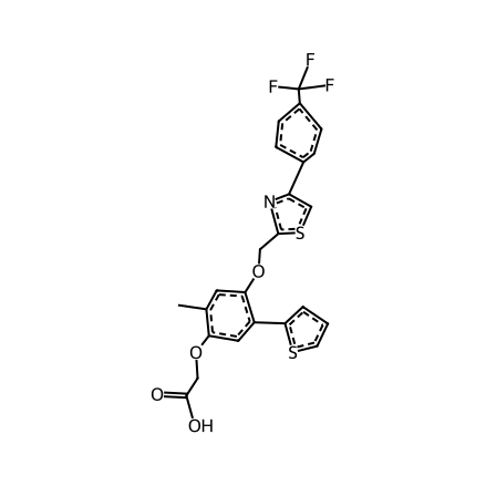 Cc1cc(OCc2nc(-c3ccc(C(F)(F)F)cc3)cs2)c(-c2cccs2)cc1OCC(=O)O